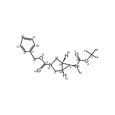 CN(C(=O)OC(C)(C)C)[C@H]1[C@@H]2CN(C(=O)OCc3ccccc3)C[C@@H]21